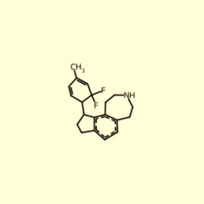 CC1=CC(F)(F)C(C2CCc3ccc4c(c32)CCNCC4)C=C1